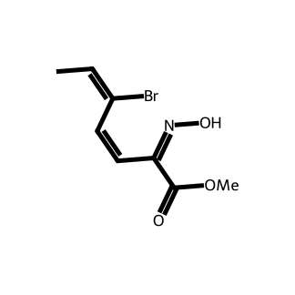 C\C=C(Br)/C=C\C(=N\O)C(=O)OC